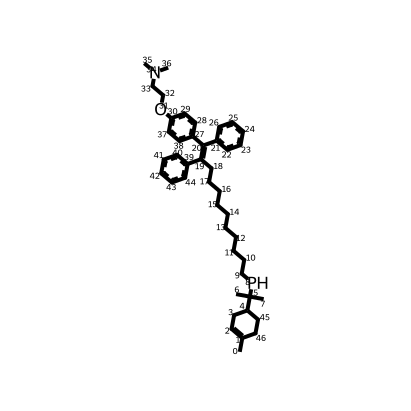 CC1=CCC(C(C)(C)PCCCCCCCCCC/C(=C(\c2ccccc2)c2ccc(OCCN(C)C)cc2)c2ccccc2)CC1